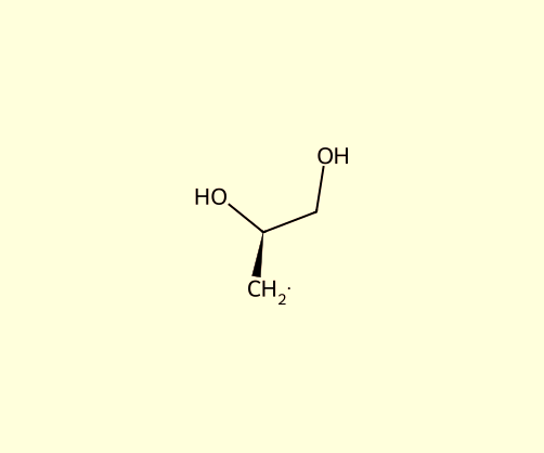 [CH2][C@@H](O)CO